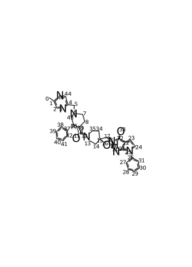 Cc1cnc(CN2CC[C@@H](C(=O)N3CCC(O)(Cn4cnc5c(ccn5-c5ccccc5)c4=O)CC3)[C@H](c3ccccc3)C2)cn1